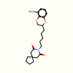 COc1cccc2c1OCC(CCCCCN1C(=O)CC3(CCCC3)CC1=O)O2